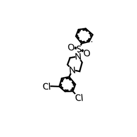 O=S(=O)(c1[c]cccc1)N1CCN(c2cc(Cl)cc(Cl)c2)CC1